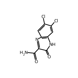 NC(=O)c1nc2cc(Cl)c(Cl)cc2[nH]c1=O